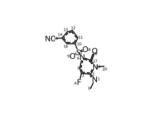 C/N=c1\c(F)cn(S(=O)(=O)c2cccc(C#N)c2)c(=O)n1C